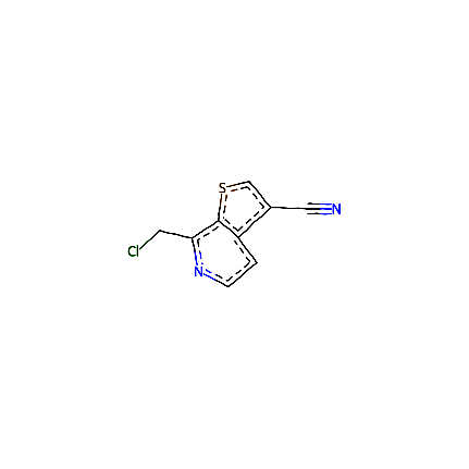 N#Cc1csc2c(CCl)nccc12